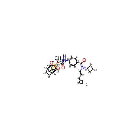 C=C/C=C/N(C(=O)c1ccc(NC(=O)CC2C3=C4CCC(=C2C3)C4S(=O)(=O)CC)cc1)C1CCC1